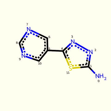 Nc1nnc(-c2cncnc2)s1